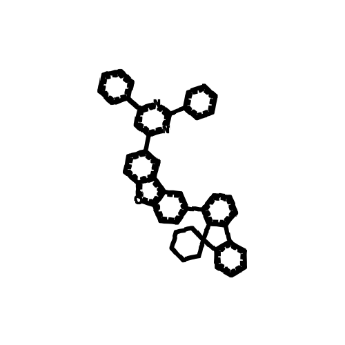 c1ccc(-c2cc(-c3ccc4oc5ccc(-c6cccc7c6C6(CCCCC6)c6ccccc6-7)cc5c4c3)nc(-c3ccccc3)n2)cc1